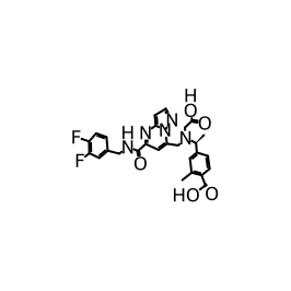 Cc1cc([C@H](C)N(CC(=O)O)Cc2cc(C(=O)NCc3ccc(F)c(F)c3)nc3ccnn23)ccc1C(=O)O